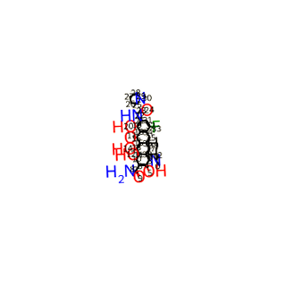 CN(C)C1C(O)=C(C(N)=O)C[C@@]2(O)C(O)=C3C(=O)c4c(O)c(NC(=O)[C@@H]5CCCN5C)cc(F)c4C[C@H]3C[C@@H]12